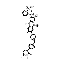 Cc1cc(Nc2ncc(Cl)c(Nc3ccccc3S(=O)(=O)C(C)C)n2)c(OC(C)C)cc1C1CCN(Cc2ccc(C3CCC(=O)NC3=O)cn2)CC1